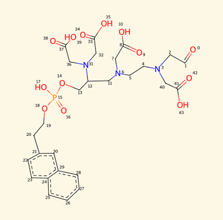 O=CCN(CCN(CC(=O)O)CC(COP(=O)(O)OCCc1ccc2ccccc2c1)N(CC(=O)O)CC(=O)O)CC(=O)O